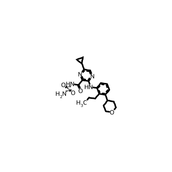 CCCc1c(Nc2ncc(C3CC3)nc2C(=O)NS(N)(=O)=O)cccc1C1CCOCC1